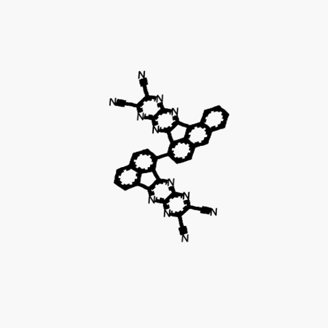 N#Cc1nc2nc3c(nc2nc1C#N)-c1c(-c2ccc4cc5ccccc5c5c4c2-c2nc4nc(C#N)c(C#N)nc4nc2-5)ccc2cccc-3c12